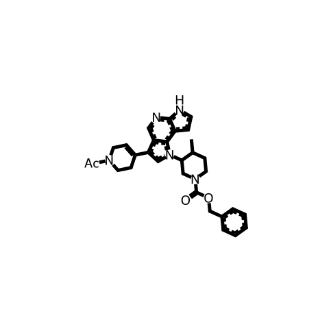 CC(=O)N1CC=C(c2cn(C3CN(C(=O)OCc4ccccc4)CCC3C)c3c2cnc2[nH]ccc23)CC1